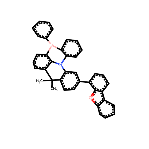 CC1(C)c2ccc(-c3cccc4c3oc3ccccc34)cc2N2c3ccccc3B(c3ccccc3)c3cccc1c32